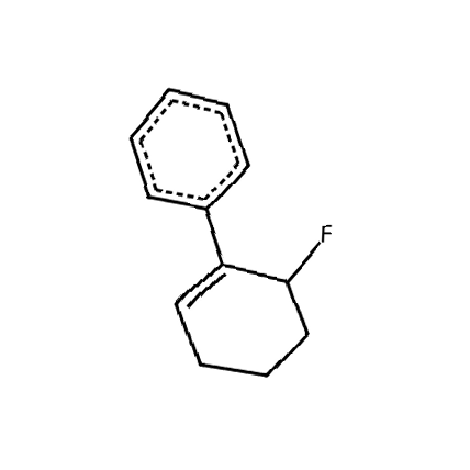 FC1CCCC=C1c1ccccc1